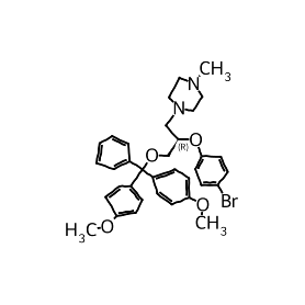 COc1ccc(C(OC[C@@H](CN2CCN(C)CC2)Oc2ccc(Br)cc2)(c2ccccc2)c2ccc(OC)cc2)cc1